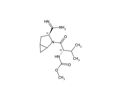 COC(=O)N[C@H](C(=O)N1C2CC2C[C@H]1C(=N)N)C(C)C